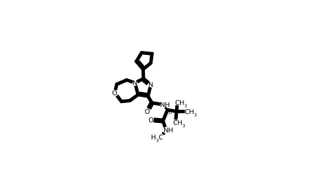 CNC(=O)[C@@H](NC(=O)c1nc(C2=CCCC2)n2c1CCOCC2)C(C)(C)C